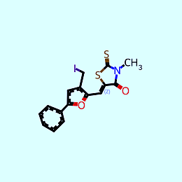 CN1C(=O)/C(=C/c2oc(-c3ccccc3)cc2CI)SC1=S